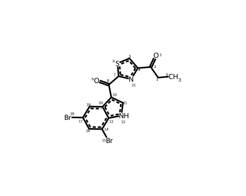 CCC(=O)c1csc(C(=O)c2c[nH]c3c(Br)cc(Br)cc23)n1